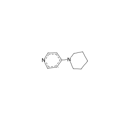 [c]1cnccc1N1CCCCC1